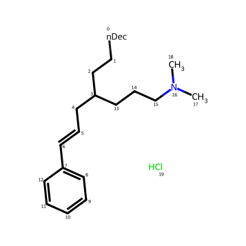 CCCCCCCCCCCCC(CC=Cc1ccccc1)CCCN(C)C.Cl